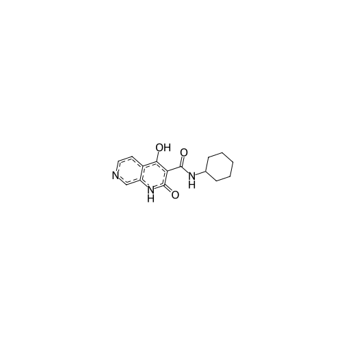 O=C(NC1CCCCC1)c1c(O)c2ccncc2[nH]c1=O